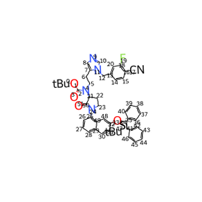 CC(C)(C)OC(=O)N(CCc1cncn1Cc1ccc(C#N)c(F)c1)[C@H]1CCN(c2cccc3ccc(O[Si](c4ccccc4)(c4ccccc4)C(C)(C)C)cc23)C1=O